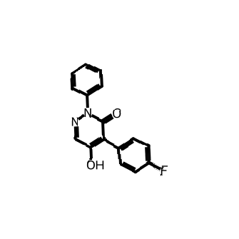 O=c1c(-c2ccc(F)cc2)c(O)cnn1-c1ccccc1